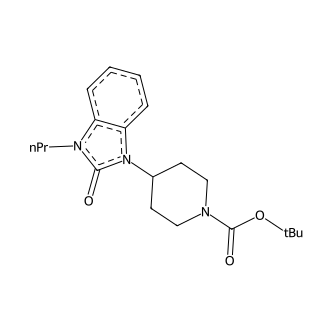 CCCn1c(=O)n(C2CCN(C(=O)OC(C)(C)C)CC2)c2ccccc21